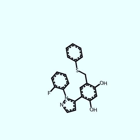 Oc1cc(O)c(-c2ccnn2-c2ccccc2F)cc1CSc1ccccc1